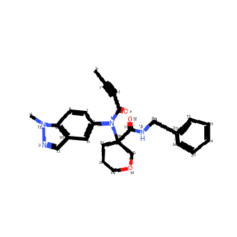 CC#CC(=O)N(c1ccc2c(cnn2C)c1)C1(C(=O)NCc2ccccc2)CCCOC1